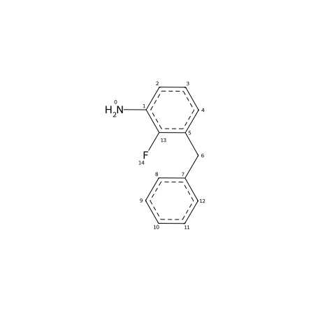 Nc1cccc(Cc2ccccc2)c1F